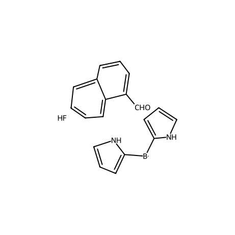 F.O=Cc1cccc2ccccc12.[B](c1ccc[nH]1)c1ccc[nH]1